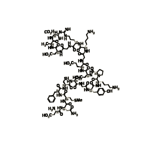 CSCC[C@H](NC(=O)[C@H](CC(N)=O)NC(=O)[C@@H](N)CC(=O)O)C(=O)N[C@@H](Cc1ccccc1)C(=O)N[C@@H](CS)C(=O)N[C@@H](C)C(=O)NCC(=O)N[C@@H](Cc1ccc(O)cc1)C(=O)N[C@@H](CCCCN)C(=O)N1CCC[C@H]1C(=O)N[C@@H](CC(=O)O)C(=O)N[C@@H](CCC(=O)O)C(=O)NCC(=O)N[C@@H](CCCCN)C(=O)N[C@@H](CCCNC(=N)N)C(=O)NCC(=O)N[C@@H](CC(=O)O)C(=O)N[C@@H](C)C(=O)N[C@@H](CS)C(=O)O